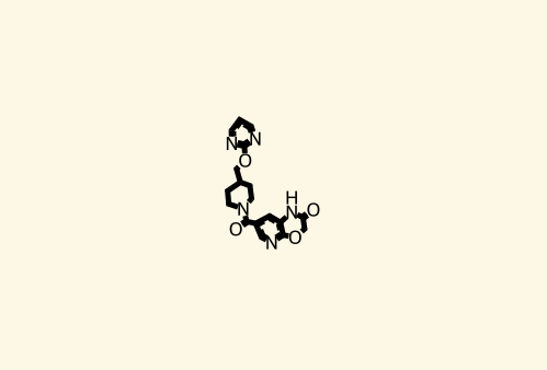 O=C1COc2ncc(C(=O)N3CCC(COc4ncccn4)CC3)cc2N1